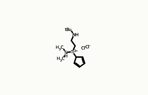 C[SiH](C)[Ti+2]([CH2]CNC(C)(C)C)[CH]1C=CC=C1.[Cl-].[Cl-]